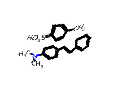 CN(C)c1ccc(C=Cc2ccccc2)cc1.Cc1ccc(S(=O)(=O)O)cc1